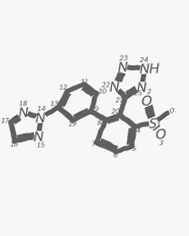 CS(=O)(=O)c1cccc(-c2cccc(-n3nccn3)c2)c1-c1nn[nH]n1